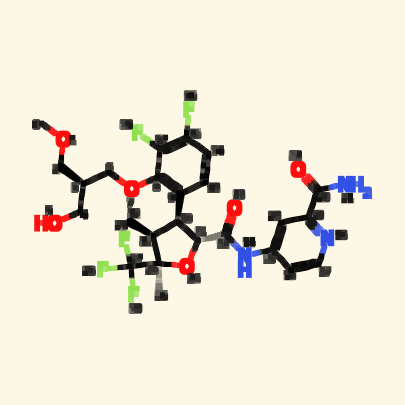 COC[C@H](CO)COc1c([C@H]2[C@H](C(=O)Nc3ccnc(C(N)=O)c3)O[C@@](C)(C(F)(F)F)[C@H]2C)ccc(F)c1F